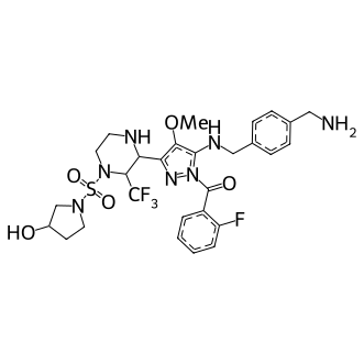 COc1c(C2NCCN(S(=O)(=O)N3CCC(O)C3)C2C(F)(F)F)nn(C(=O)c2ccccc2F)c1NCc1ccc(CN)cc1